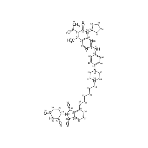 CC(=O)c1c(C)c2cnc(Nc3ccc(N4CCN(CCCCCSc5cccc6c5C(=O)N(C5CCC(=O)NC5=O)C6=O)CC4)cn3)nc2n(C2CCCC2)c1=O